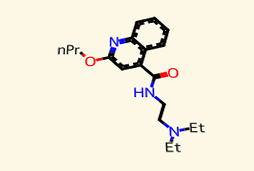 CCCOc1cc(C(=O)NCCN(CC)CC)c2ccccc2n1